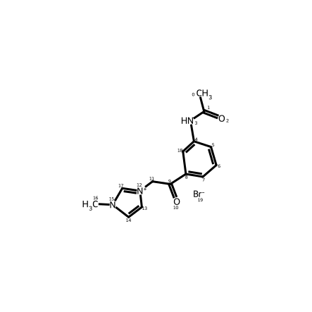 CC(=O)Nc1cccc(C(=O)C[n+]2ccn(C)c2)c1.[Br-]